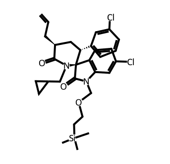 C=CC[C@H]1C[C@H](c2cccc(Cl)c2)[C@]2(C(=O)N(COCC[Si](C)(C)C)c3cc(Cl)ccc32)N(CC2CC2)C1=O